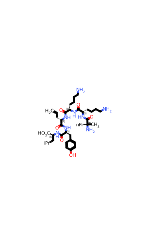 C=CC[C@H](NC(=O)[C@H](CCCCN)NC(=O)[C@H](CCCCN)NC(=O)[C@](C)(N)CCC)C(=O)N[C@@H](Cc1ccc(O)cc1)C(=O)N[C@@H](CC(C)C)C(=O)O